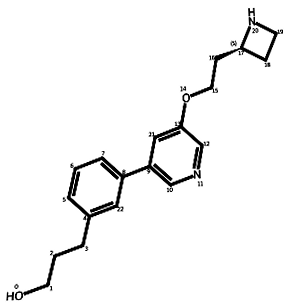 OCCCc1cccc(-c2cncc(OCC[C@@H]3CCN3)c2)c1